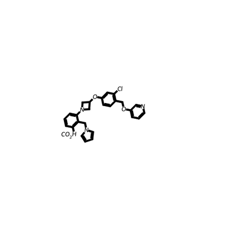 O=C(O)c1cccc(N2CC(Oc3ccc(COc4cccnc4)c(Cl)c3)C2)c1Cn1cccc1